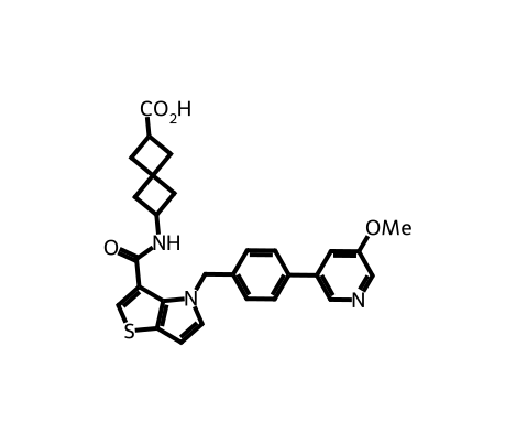 COc1cncc(-c2ccc(Cn3ccc4scc(C(=O)NC5CC6(C5)CC(C(=O)O)C6)c43)cc2)c1